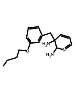 CCCCOc1cccc(CC2(N)C=CC=NC2N)c1